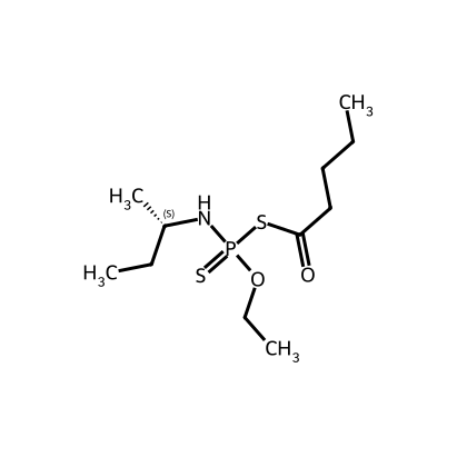 CCCCC(=O)SP(=S)(N[C@@H](C)CC)OCC